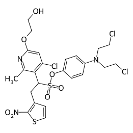 Cc1nc(OCCO)cc(Cl)c1C(Cc1ccsc1[N+](=O)[O-])S(=O)(=O)Oc1ccc(N(CCCl)CCCl)cc1